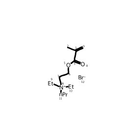 C=C(C)C(=O)OCC[N+](CC)(CC)CCC.[Br-]